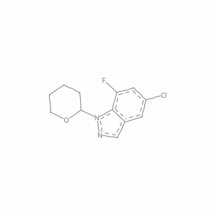 Fc1cc(Cl)cc2cnn(C3CCCCO3)c12